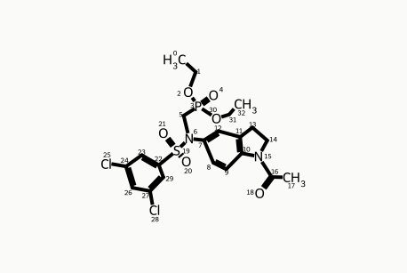 CCOP(=O)(CN(c1ccc2c(c1)CCN2C(C)=O)S(=O)(=O)c1cc(Cl)cc(Cl)c1)OCC